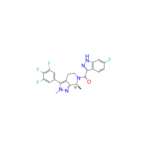 C[C@H]1c2nn(C)c(-c3cc(F)c(F)c(F)c3)c2CCN1C(=O)c1n[nH]c2cc(F)ccc12